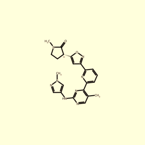 Cc1cnc(Nc2cnn(C)c2)nc1-c1cccc(-c2cc([C@@H]3CCN(C)C3=O)on2)n1